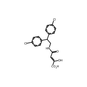 O=C(/C=C(\O)C(=O)O)NCC(c1ccc(Cl)cc1)c1ccc(Cl)cc1